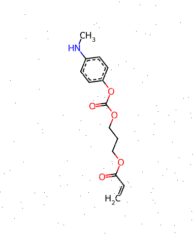 C=CC(=O)OCCCOC(=O)Oc1ccc(NC)cc1